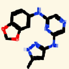 Cc1cc(Nc2cncc(Nc3ccc4c(c3)OCO4)n2)n[nH]1